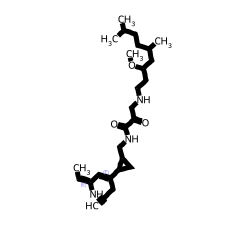 C#CC/C(=C\C(N)=C/C)C1CC1CNC(=O)C(=O)CNCCC(CC(C)CCC(C)C)OC